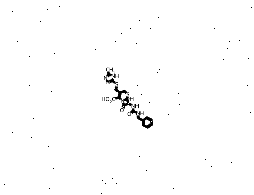 Cc1nnc(SCC2=C(C(=O)O)N3C(=O)C(NC(=O)NCc4ccccc4)[C@@H]3SC2)[nH]1